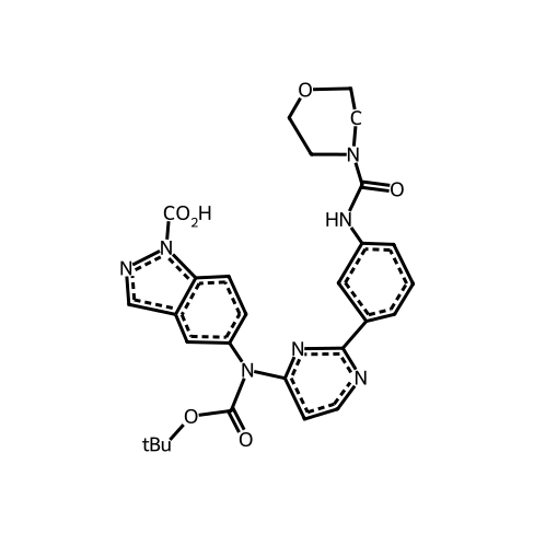 CC(C)(C)OC(=O)N(c1ccc2c(cnn2C(=O)O)c1)c1ccnc(-c2cccc(NC(=O)N3CCOCC3)c2)n1